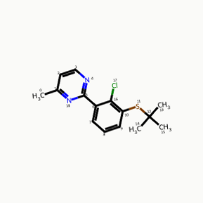 Cc1ccnc(-c2cccc(SC(C)(C)C)c2Cl)n1